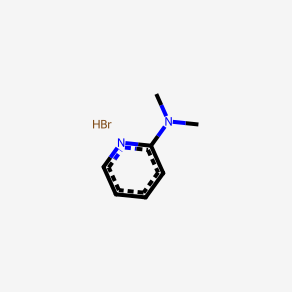 Br.CN(C)c1ccccn1